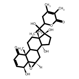 CC1=C(C)C(=O)OC(C(C)(O)[C@]2(O)CC[C@@]3(O)C4C[C@H]5O[C@]56[C@@H](O)C=CC(=O)[C@]6(C)C4CC[C@@]32C)C1